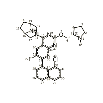 CN1CCC[C@H]1COc1nc(N2CC3CCC(C2)N3)c2cc(F)c(-c3cccc4cccc(Cl)c34)nc2n1